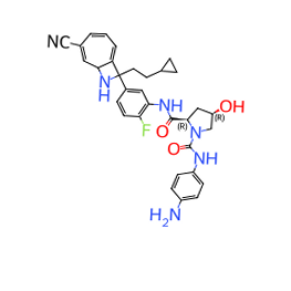 N#CC1=CC2NC(CCC3CC3)(c3ccc(F)c(NC(=O)[C@H]4C[C@@H](O)CN4C(=O)Nc4ccc(N)cc4)c3)C2=CC=C1